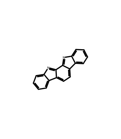 [c]1ccc2c(c1)N=c1c-2ccc2c1=Nc1ccccc1-2